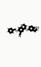 N#Cc1cc2c(Oc3ccc4[nH]ccc4c3)ccnc2cc1OCc1ccccc1